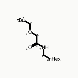 CCCCCCCNC(=O)COCC(C)(C)C